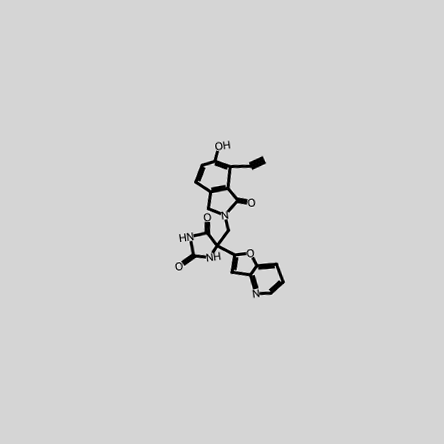 C#Cc1c(O)ccc2c1C(=O)N(CC1(c3cc4ncccc4o3)NC(=O)NC1=O)C2